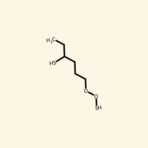 CCC(S)CCCOOS